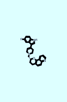 Fc1ccc2[nH]cc(C3=CCN(C[C@H]4CCc5ccc6ncccc6c5O4)CC3)c2c1